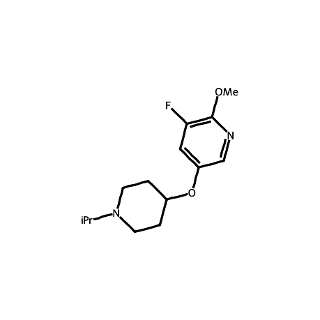 COc1ncc(OC2CCN(C(C)C)CC2)cc1F